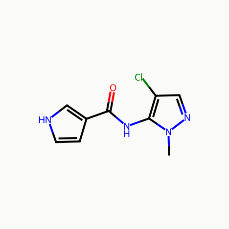 Cn1ncc(Cl)c1NC(=O)c1cc[nH]c1